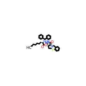 C#CCCCCC[C@@H]1C(=O)O[N@+]2(C)N(C(=O)[C@@H]3CCCN3Cc3ccccc3F)c3ccccc3C(c3ccccc3)=[N+]12